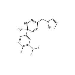 CC1(c2ccc(F)c(C(F)F)c2)C=CC(Cn2cccn2)=NN1